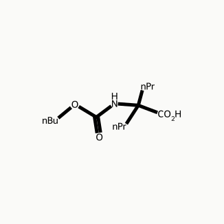 CCCCOC(=O)NC(CCC)(CCC)C(=O)O